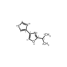 CC(C)c1nc(-c2cscn2)co1